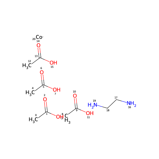 CC(=O)O.CC(=O)O.CC(=O)O.CC(=O)O.NCCN.[Co]